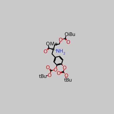 COC(=O)[C@@](N)(CCOC(=O)OCC(C)C)Cc1ccc(OC(=O)OC(C)(C)C)c(OC(=O)OC(C)(C)C)c1